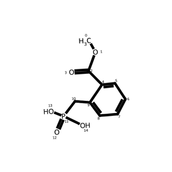 COC(=O)c1ccccc1CP(=O)(O)O